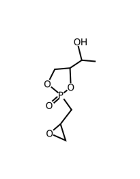 CC(O)C1COP(=O)(CC2CO2)O1